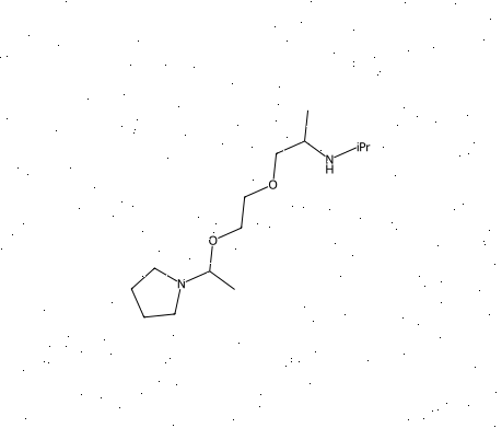 CC(C)NC(C)COCCOC(C)N1CCCC1